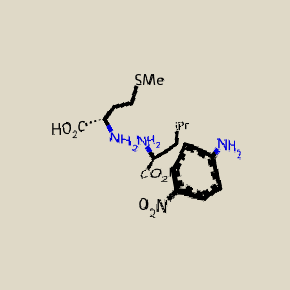 CC(C)C[C@H](N)C(=O)O.CSCC[C@H](N)C(=O)O.Nc1ccc([N+](=O)[O-])cc1